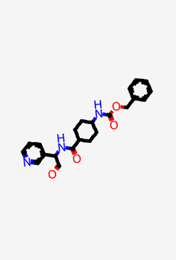 O=CC(NC(=O)C1CCC(NC(=O)OCc2ccccc2)CC1)c1cccnc1